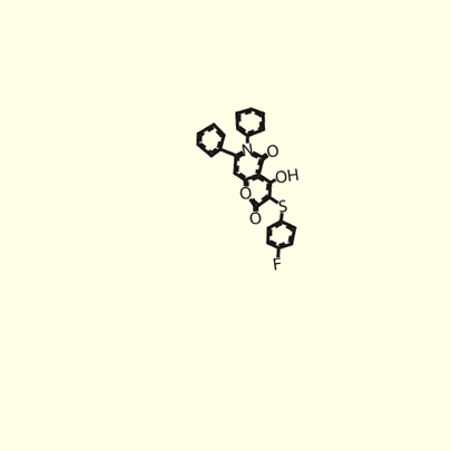 O=c1oc2cc(-c3ccccc3)n(-c3ccccc3)c(=O)c2c(O)c1Sc1ccc(F)cc1